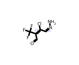 N/N=C\C(Cl)=C(/C=O)C(F)(F)F